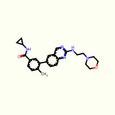 Cc1ccc(C(=O)NC2CC2)cc1-c1ccc2nc(NCCN3CCOCC3)ncc2c1